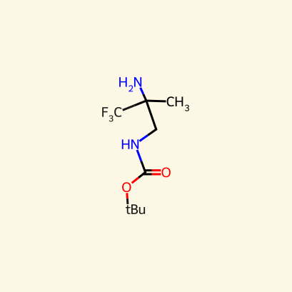 CC(C)(C)OC(=O)NCC(C)(N)C(F)(F)F